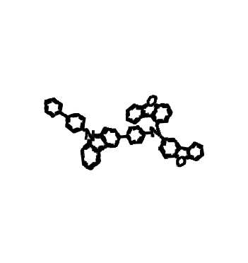 c1ccc(-c2ccc(-n3c4ccccc4c4cc(-c5ccc(N(c6ccc7oc8ccccc8c7c6)c6cccc7oc8ccccc8c67)cc5)ccc43)cc2)cc1